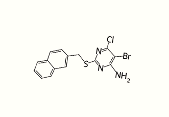 Nc1nc(SCc2ccc3ccccc3c2)nc(Cl)c1Br